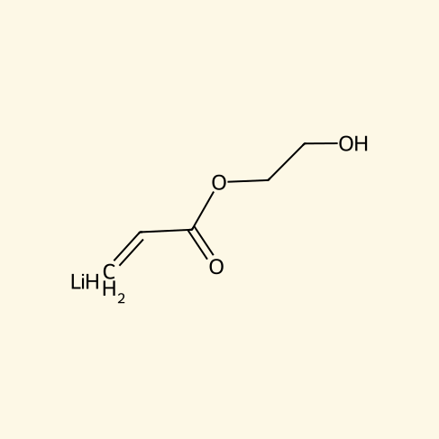 C=CC(=O)OCCO.[LiH]